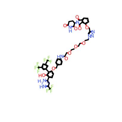 N=C(/C=C(\N)c1ccc(OCc2ccc(NC(=O)COCCOCCOCCn3cc(COc4cccc5c4C(=O)N(C4CCC(=O)NC4=O)C5=O)nn3)cc2)c(-c2cc(C(F)(F)F)cc(C(F)(F)F)c2)c1O)C(F)(F)F